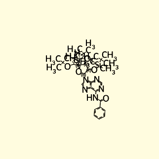 CC(C)(C)OC1[SiH2][C@@]12O[C@@H](n1cnc3c(NC(=O)c4ccccc4)ncnc31)[C@H](O[Si](C)(C)C(C)(C)C)[C@@H]2OC(C)(C)C